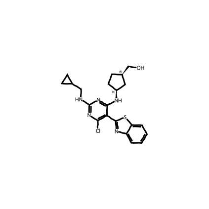 OC[C@@H]1CC[C@H](Nc2nc(NCC3CC3)nc(Cl)c2-c2nc3ccccc3s2)C1